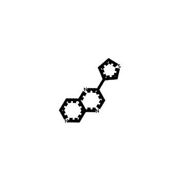 c1cc2nc(-c3ccsc3)cnc2cn1